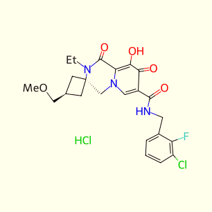 CCN1C(=O)c2c(O)c(=O)c(C(=O)NCc3cccc(Cl)c3F)cn2C[C@]12C[C@H](COC)C2.Cl